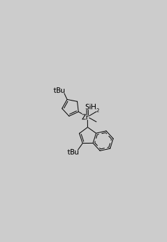 CC(C)(C)C1=CC=[C]([Zr]([CH3])([CH3])(=[SiH2])[CH]2C=C(C(C)(C)C)c3ccccc32)C1